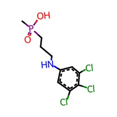 CP(=O)(O)CCCNc1cc(Cl)c(Cl)c(Cl)c1